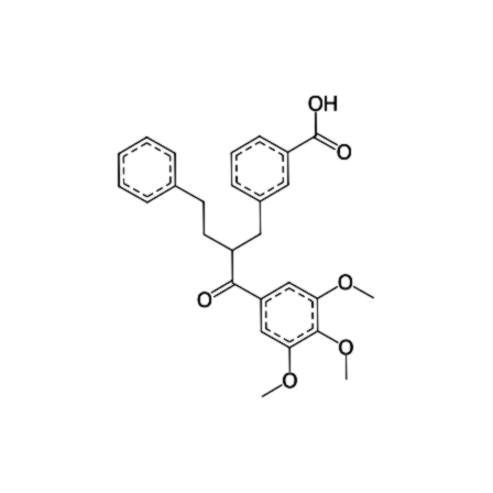 COc1cc(C(=O)C(CCc2ccccc2)Cc2cccc(C(=O)O)c2)cc(OC)c1OC